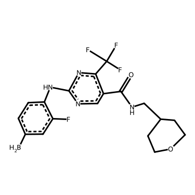 Bc1ccc(Nc2ncc(C(=O)NCC3CCOCC3)c(C(F)(F)F)n2)c(F)c1